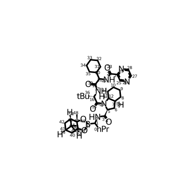 CCCC(NC(=O)[C@@H]1C[C@@H]2CCCC[C@@H]2N1C(=O)[C@@H](NC(=O)C(NC(=O)c1cnccn1)C1CCCCC1)C(C)(C)C)B1O[C@@H]2C[C@@H]3C[C@@H](C3(C)C)[C@]2(C)O1